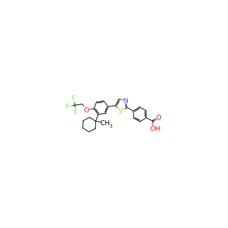 CC1(c2cc(-c3cnc(-c4ccc(C(=O)O)cc4)s3)ccc2OCC(F)(F)F)CCCCC1